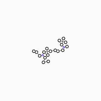 c1ccc(-c2ccccc2-c2cccc(N(c3cccc(-c4ccc5ccccc5c4)c3)c3cccc4c3-c3ccccc3C4(c3ccccc3)c3ccc(-c4ccc5cc(-c6cccc(N(c7ccccc7)c7ccc8c(c7)C(c7ccccc7)(c7ccccc7)c7ccccc7-8)c6)ccc5c4)cc3)c2)cc1